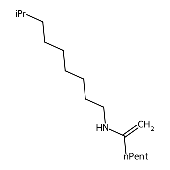 C=C(CCCCC)NCCCCCCCC(C)C